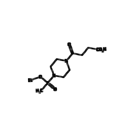 CCOP(C)(=O)N1CCN(C(=O)CCC(=O)O)CC1